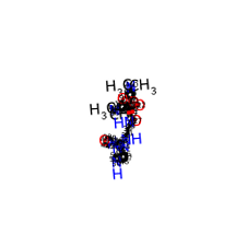 CN(C)c1ccc2c(c1)Oc1cc(N(C)C)ccc1C21OC(=O)c2cc(C(=O)NCCCCNc3cc(N4CCOCC4)nc(-c4cccc5[nH]ccc45)n3)ccc21